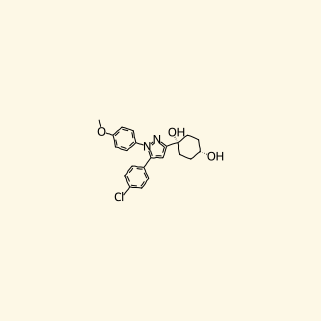 COc1ccc(-n2nc([C@]3(O)CC[C@@H](O)CC3)cc2-c2ccc(Cl)cc2)cc1